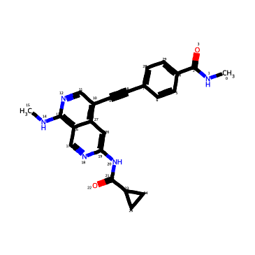 CNC(=O)c1ccc(C#Cc2cnc(NC)c3cnc(NC(=O)C4CC4)cc23)cc1